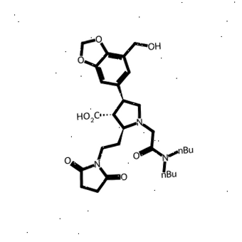 CCCCN(CCCC)C(=O)CN1C[C@H](c2cc(CO)c3c(c2)OCO3)[C@@H](C(=O)O)[C@@H]1CCN1C(=O)CCC1=O